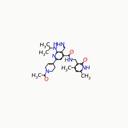 CC(=O)N1CC=C(c2cc(C(=O)NCc3c(C)cc(C)[nH]c3=O)c(C=N)c(NC(C)C)n2)CC1